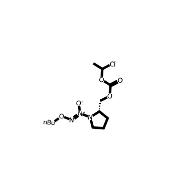 CCCCON=[N+]([O-])N1CCC[C@H]1COC(=O)OC(C)Cl